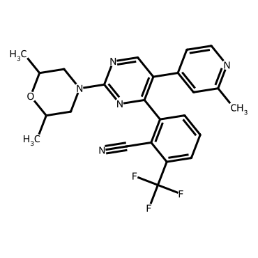 Cc1cc(-c2cnc(N3CC(C)OC(C)C3)nc2-c2cccc(C(F)(F)F)c2C#N)ccn1